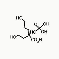 O=C(O)C(=CCCO)CCO.O=P(O)(O)O